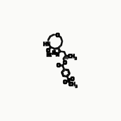 CCn1nc(C[C@@H](C)COC(=O)c2ccc(S(C)(=O)=O)cc2)c2c1C(=O)NCCCOCCC2